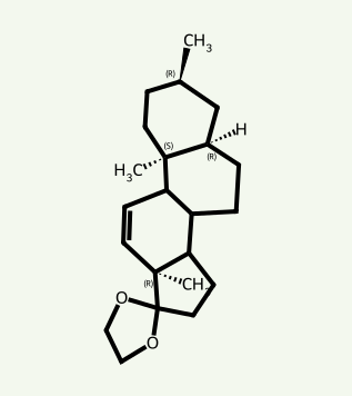 C[C@@H]1CC[C@]2(C)C3C=C[C@@]4(C)C(CCC45OCCO5)C3CC[C@@H]2C1